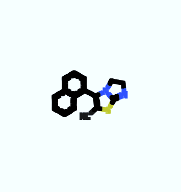 N#CC1=C(c2cccc3ccccc23)N2CCN=C2S1